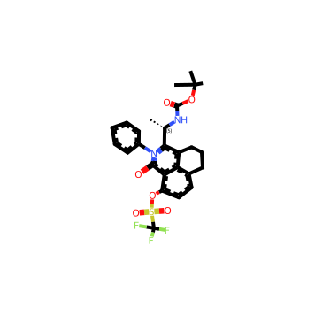 C[C@H](NC(=O)OC(C)(C)C)c1c2c3c(ccc(OS(=O)(=O)C(F)(F)F)c3c(=O)n1-c1ccccc1)CCC2